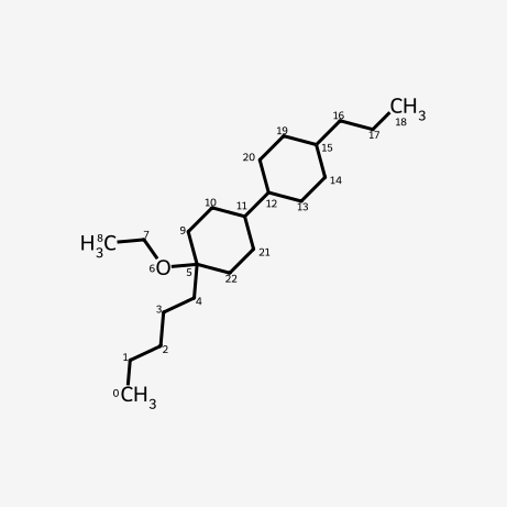 CCCCCC1(OCC)CCC(C2CCC(CCC)CC2)CC1